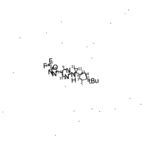 CC(C)(C)c1ccc(C2(Nc3ncc(-c4nnc(C(F)F)o4)cn3)CC2)cc1